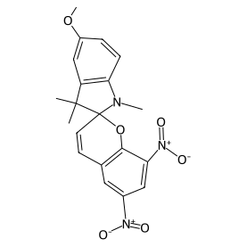 COc1ccc2c(c1)C(C)(C)C1(C=Cc3cc([N+](=O)[O-])cc([N+](=O)[O-])c3O1)N2C